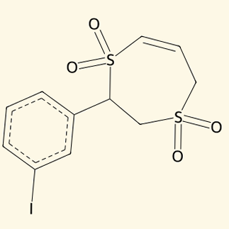 O=S1(=O)CC=CS(=O)(=O)C(c2cccc(I)c2)C1